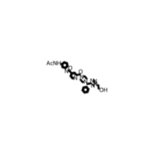 CC(=O)Nc1ccc2oc(-c3ccnc(C(=O)N4CCN([C@@H](c5ccccc5)c5nnn(CCO)n5)CC4)c3)nc2c1